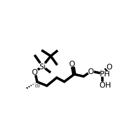 C[C@@H](CCCC(=O)CO[PH](=O)O)O[Si](C)(C)C(C)(C)C